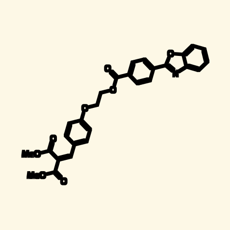 COC(=O)C(=Cc1ccc(OCCOC(=O)c2ccc(-c3nc4ccccc4o3)cc2)cc1)C(=O)OC